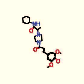 COc1cc(C=CC(=O)N2CCN(C(C)C(=O)NC3CCCCC3)CC2)cc(OC)c1OC